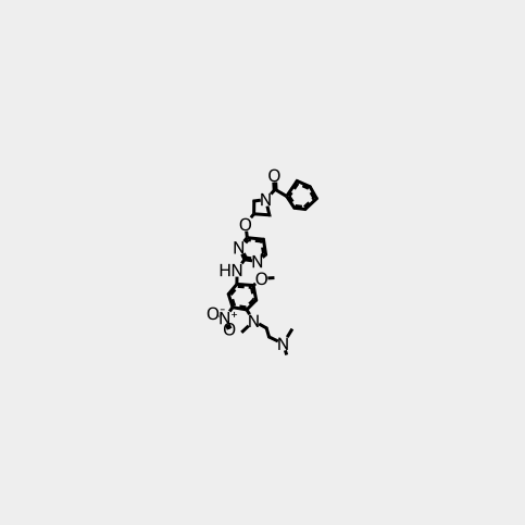 COc1cc(N(C)CCN(C)C)c([N+](=O)[O-])cc1Nc1nccc(OC2CN(C(=O)c3ccccc3)C2)n1